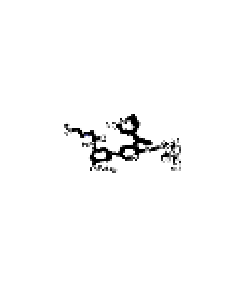 CCOP(=O)(O)OCn1cc(-c2ccnc(C#N)c2)c2cc(-c3cc(NC(=O)/C=C/CN(C)C)cc(OC)c3)cnc21